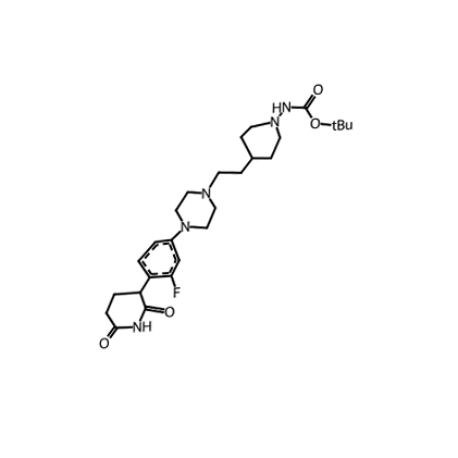 CC(C)(C)OC(=O)NN1CCC(CCN2CCN(c3ccc(C4CCC(=O)NC4=O)c(F)c3)CC2)CC1